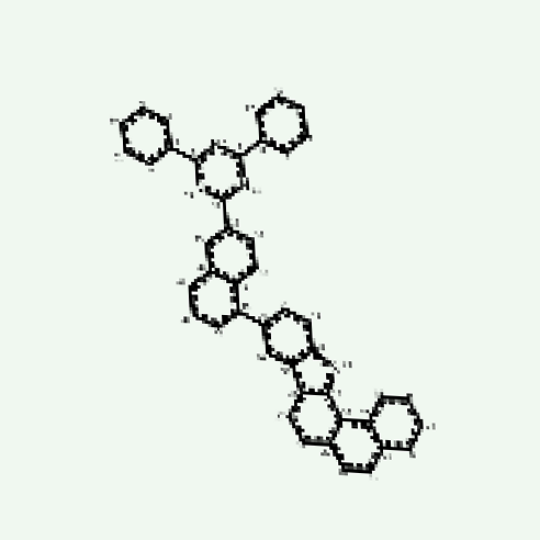 c1ccc(-c2nc(-c3ccccc3)nc(-c3ccc4c(-c5ccc6sc7c(ccc8ccc9ccccc9c87)c6c5)cccc4c3)n2)cc1